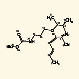 C/C=C/C=C\C(C#N)=N/[C@H](C)C(C)OCCCNC(=O)OC(C)(C)C